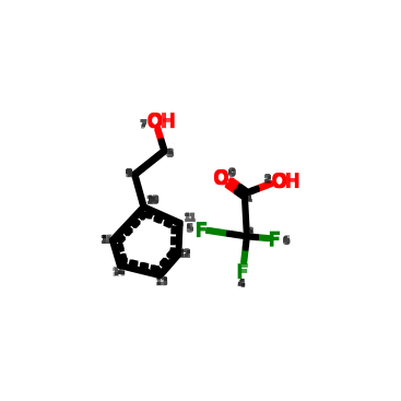 O=C(O)C(F)(F)F.OCCc1ccccc1